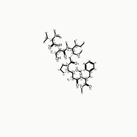 CC[C@H](C)[C@@H]([C@@H](CC(=O)N1CCC[C@H]1[C@H](OC)[C@@H](C)C(=O)N[C@@H](Cc1ccccc1)C(=O)OC)OC)N(C)C(=O)[C@@H](NC(=O)[C@H](C(C)C)N(C)C)[C@@H](C)O